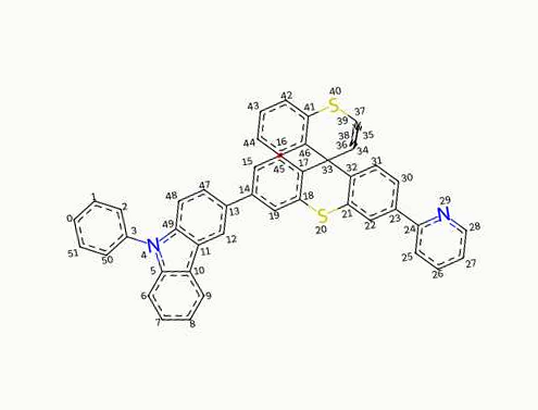 c1ccc(-n2c3ccccc3c3cc(-c4ccc5c(c4)Sc4cc(-c6ccccn6)ccc4C54c5ccccc5Sc5ccccc54)ccc32)cc1